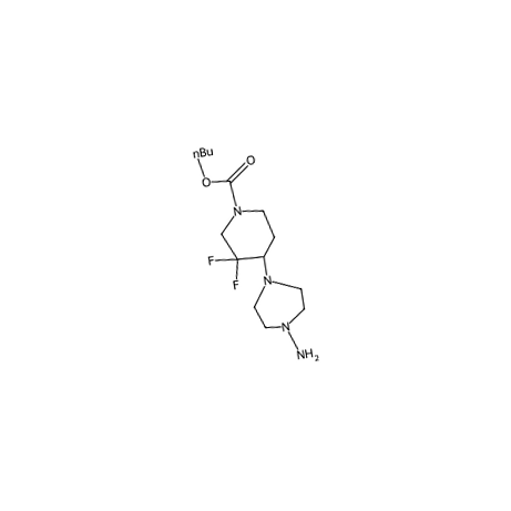 CCCCOC(=O)N1CCC(N2CCN(N)CC2)C(F)(F)C1